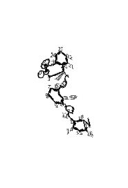 O=S1(=O)CC(Sc2cccc(OCc3cccnc3)c2)c2ccccc21